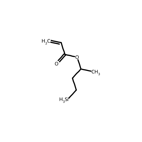 C=CC(=O)OC(C)CC[SiH3]